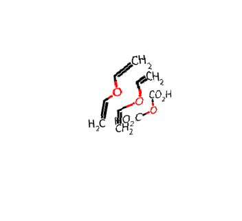 C=COC=C.C=COC=C.O=C(O)OC(=O)O